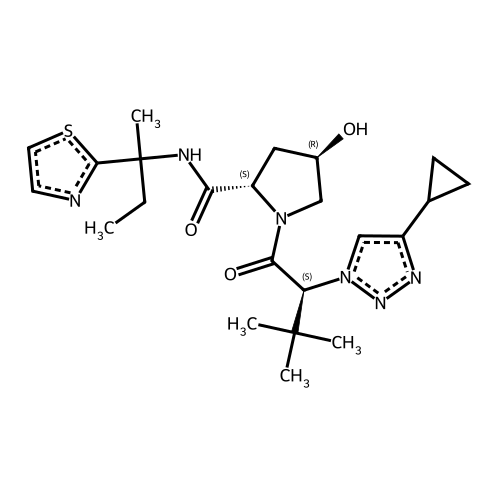 CCC(C)(NC(=O)[C@@H]1C[C@@H](O)CN1C(=O)[C@@H](n1cc(C2CC2)nn1)C(C)(C)C)c1nccs1